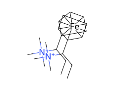 CCC([C]12[CH]3[CH]4[CH]5[CH]1[Fe]45321678[CH]2[CH]1[CH]6[C]7(C(CC)[N+](C)(C)C)[CH]28)[N+](C)(C)C